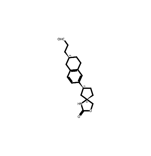 O=CCC[C@H]1CCc2cc([C@H]3CC[C@]4(COC(=O)N4)C3)ccc2C1